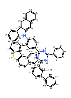 c1ccc(-c2nc(-c3ccc(-n4c5ccccc5c5cc6ccccc6cc54)c(-c4cccc5sc6ccc7ccccc7c6c45)c3)nc(-c3cccc4c3sc3ccccc34)n2)cc1